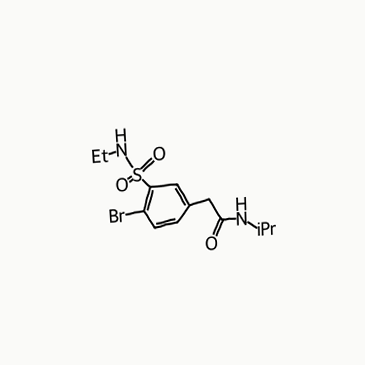 CCNS(=O)(=O)c1cc(CC(=O)NC(C)C)ccc1Br